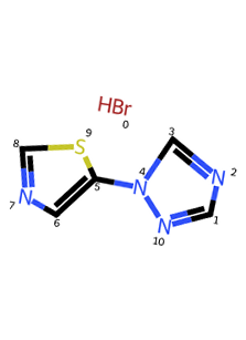 Br.c1ncn(-c2cncs2)n1